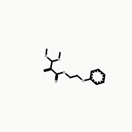 C=C(C(=O)OCCOc1ccccc1)C(OC)OC